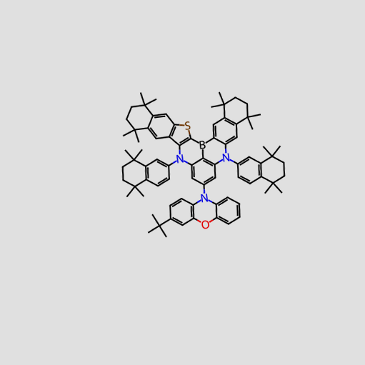 CC(C)(C)c1ccc2c(c1)Oc1ccccc1N2c1cc2c3c(c1)N(c1ccc4c(c1)C(C)(C)CCC4(C)C)c1c(sc4cc5c(cc14)C(C)(C)CCC5(C)C)B3c1cc3c(cc1N2c1ccc2c(c1)C(C)(C)CCC2(C)C)C(C)(C)CCC3(C)C